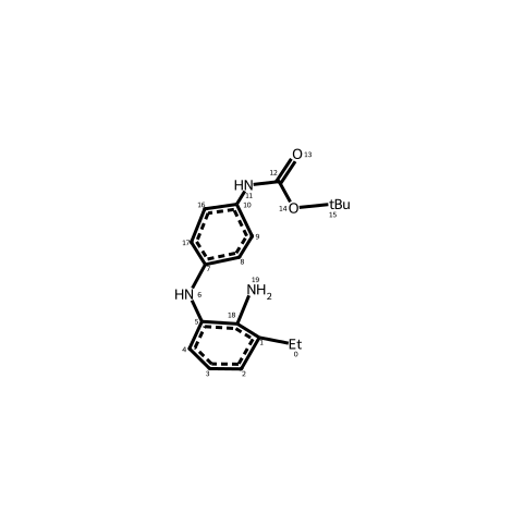 CCc1cccc(Nc2ccc(NC(=O)OC(C)(C)C)cc2)c1N